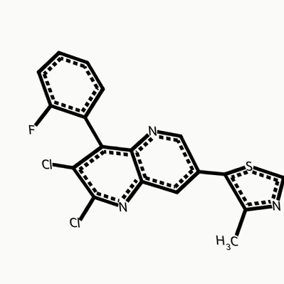 Cc1ncsc1-c1cnc2c(-c3ccccc3F)c(Cl)c(Cl)nc2c1